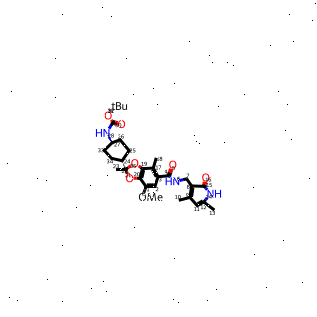 COc1cc(C(=O)NCc2c(C)cc(C)[nH]c2=O)c(C)c2c1OC(C)([C@H]1CC[C@H](NC(=O)OC(C)(C)C)CC1)O2